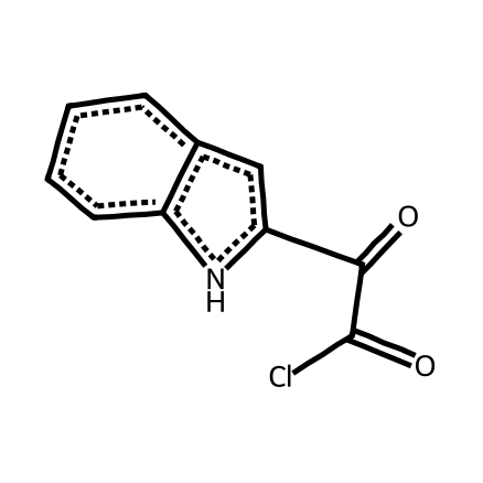 O=C(Cl)C(=O)c1cc2ccccc2[nH]1